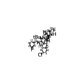 CC(C)(C)[C@H](c1nc(-c2cc(Cl)ccc2F)cn1Cc1cccc(F)c1)N1C[C@H]2C[C@@H](CF)NC23CCO[C@@H]3C1=O